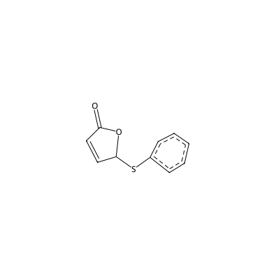 O=C1C=CC(Sc2ccccc2)O1